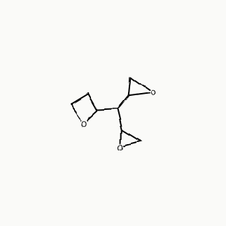 C1CC(C(C2CO2)C2CO2)O1